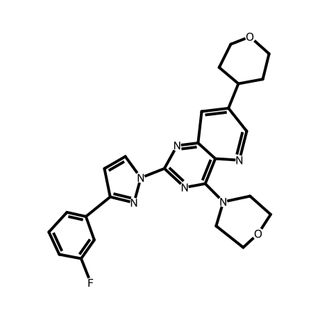 Fc1cccc(-c2ccn(-c3nc(N4CCOCC4)c4ncc(C5CCOCC5)cc4n3)n2)c1